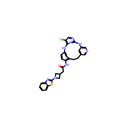 O=C(CC1CN(c2nc3ccccc3s2)C1)Nc1ccc2cc1CCc1cncc(c1)Nc1ncc(Cl)c(n1)N2